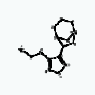 N#CCSc1nsnc1C1CN2CCCC1C2